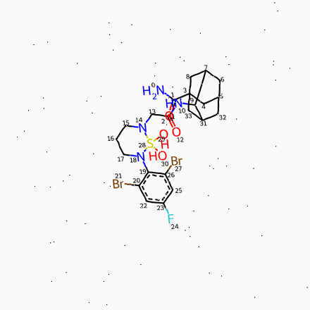 NC(=O)C12CC3CC(C1)C(NC(=O)CN1CCCN(c4c(Br)cc(F)cc4Br)S1(O)O)C(C3)C2